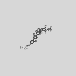 CCCc1ccc(-c2ccc(-c3cc(F)c(C(F)(F)Oc4cc(F)c(OC=C(F)F)c(F)c4)c(F)c3)c(F)c2)c(F)c1